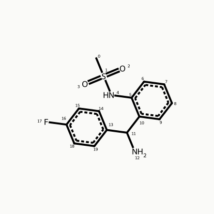 CS(=O)(=O)Nc1ccccc1C(N)c1ccc(F)cc1